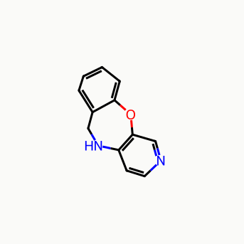 c1ccc2c(c1)CNc1ccncc1O2